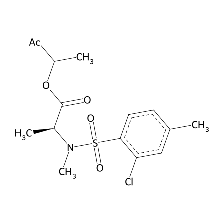 CC(=O)C(C)OC(=O)[C@H](C)N(C)S(=O)(=O)c1ccc(C)cc1Cl